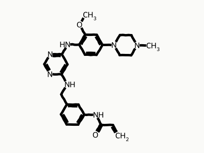 C=CC(=O)Nc1cccc(CNc2cc(Nc3ccc(N4CCN(C)CC4)cc3OC)ncn2)c1